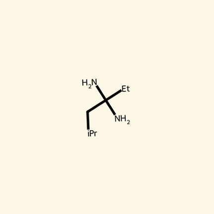 [CH2]C(C)CC(N)(N)CC